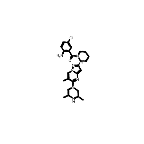 Cc1cn2nc([C@@H]3CCCCN3C(=O)c3cc(Cl)ccc3N)cc2nc1N1CC(C)NC(C)C1